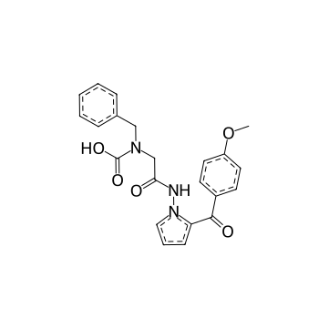 COc1ccc(C(=O)c2cccn2NC(=O)CN(Cc2ccccc2)C(=O)O)cc1